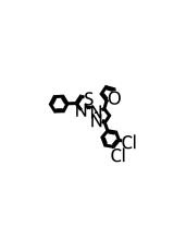 Clc1ccc(C2=NN(c3nc(-c4ccccc4)cs3)C(c3ccco3)C2)cc1Cl